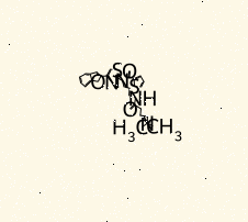 CN(C)CCCC(=O)NCCCN(C(=O)c1cccs1)c1nc(-c2cc3ccccc3o2)cs1